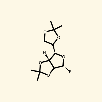 CC1(C)OCC([C@H]2O[C@H](F)C3OC(C)(C)O[C@@H]32)O1